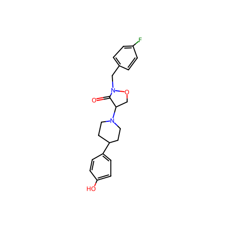 O=C1C(N2CCC(c3ccc(O)cc3)CC2)CON1Cc1ccc(F)cc1